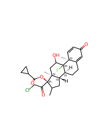 CC1C[C@H]2[C@@H]3CCC4=CC(=O)C=C[C@]4(C)[C@@]3(F)C(O)C[C@]2(C)[C@@]1(OC(=O)C1CC1)C(=O)CCl